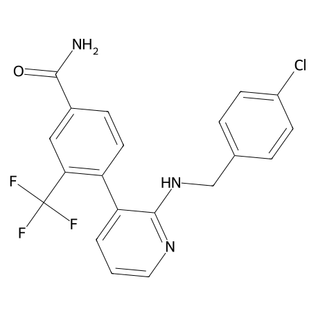 NC(=O)c1ccc(-c2cccnc2NCc2ccc(Cl)cc2)c(C(F)(F)F)c1